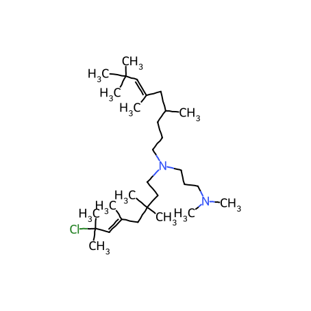 C/C(=C\C(C)(C)C)CC(C)CCCN(CCCN(C)C)CCC(C)(C)C/C(C)=C/C(C)(C)Cl